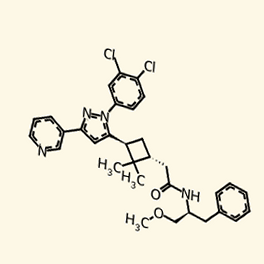 COC[C@H](Cc1ccccc1)NC(=O)C[C@H]1C[C@H](c2cc(-c3cccnc3)nn2-c2ccc(Cl)c(Cl)c2)C1(C)C